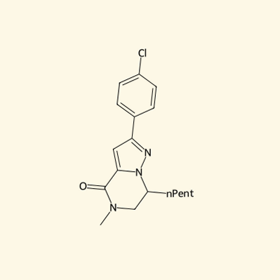 CCCCCC1CN(C)C(=O)c2cc(-c3ccc(Cl)cc3)nn21